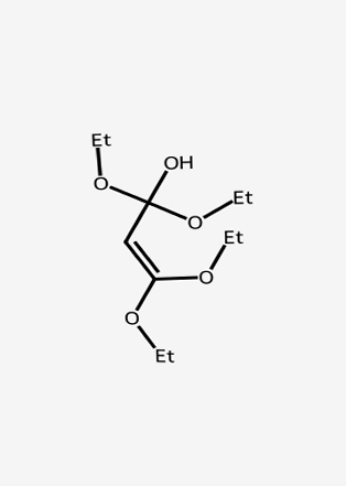 CCOC(=CC(O)(OCC)OCC)OCC